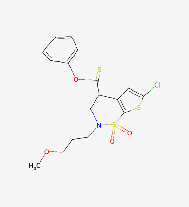 COCCCN1CC(C(=S)Oc2ccccc2)c2cc(Cl)sc2S1(=O)=O